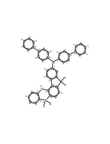 CC1(C)c2cc(N(c3ccc(-c4ccccc4)cc3)c3ccc(-c4ccccc4)cc3)ccc2-c2c1ccc1c2Oc2ccccc2[Si]1(C)C